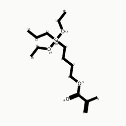 C=C(C)C(=O)OCCCC[Si](CCC)(OCC)OCC